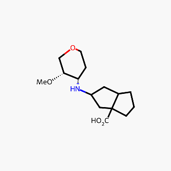 CO[C@@H]1COCC[C@@H]1NC1CC2CCCC2(C(=O)O)C1